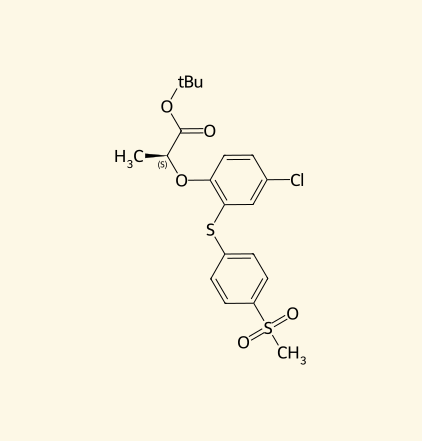 C[C@H](Oc1ccc(Cl)cc1Sc1ccc(S(C)(=O)=O)cc1)C(=O)OC(C)(C)C